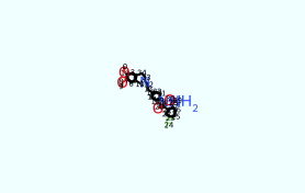 COc1cc2c(cc1OC)CN(CCc1ccc(NC(=O)c3cc(F)ccc3C(N)=O)cc1)CC2